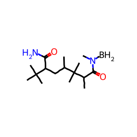 BN(C)C(=O)C(C)C(C)(C)C(C)CC(C(N)=O)C(C)(C)C